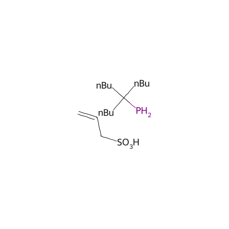 C=CCS(=O)(=O)O.CCCCC(P)(CCCC)CCCC